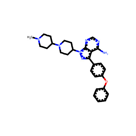 CN1CCC(N2CCC(n3nc(-c4ccc(Oc5ccccc5)cc4)c4c(N)ncnc43)CC2)CC1